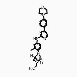 Cc1cc(Nc2nccc(-c3ccc(N4CCOCC4)nc3)n2)ccc1N1C[C@@H]2C[C@H]1CN2CC(F)(F)F